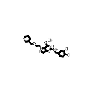 Cl.O=c1[nH]c(NCc2ccc(Cl)c(Cl)c2)nc2cnn(CCOCc3cccnc3)c12